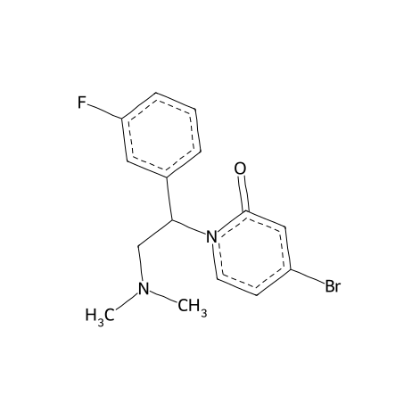 CN(C)CC(c1cccc(F)c1)n1ccc(Br)cc1=O